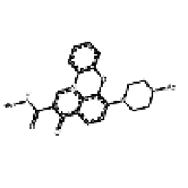 CCCNC(=O)c1cn2c3c(c(N4CCN(C(C)=O)CC4)ccc3c1=O)Oc1ccccc1-2